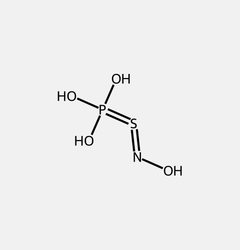 ON=S=P(O)(O)O